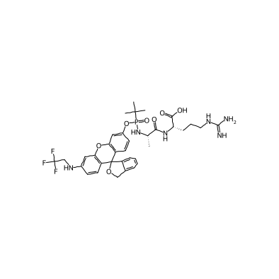 C[C@H](NP(=O)(Oc1ccc2c(c1)Oc1cc(NCC(F)(F)F)ccc1C21OCc2ccccc21)C(C)(C)C)C(=O)N[C@@H](CCCNC(=N)N)C(=O)O